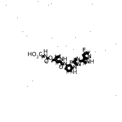 O=C(O)CNC(=O)OCc1ccnc(C(=O)N[C@@H]2CCC[C@H](Nc3nc(-c4c[nH]c5ncc(F)cc45)ncc3F)C2)c1